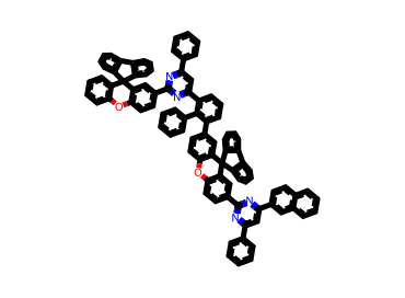 c1ccc(-c2cc(-c3ccc4ccccc4c3)nc(-c3ccc4c(c3)C3(c5cc(-c6cccc(-c7cc(-c8ccccc8)nc(-c8ccc9c(c8)C8(c%10ccccc%10O9)c9ccccc9-c9ccccc98)n7)c6-c6ccccc6)ccc5O4)c4ccccc4-c4ccccc43)n2)cc1